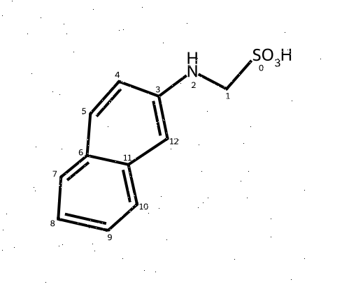 O=S(=O)(O)CNc1ccc2ccccc2c1